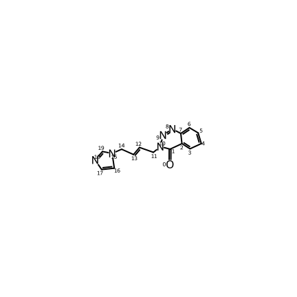 O=c1c2ccccc2nnn1CC=CCn1ccnc1